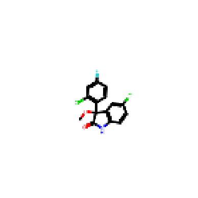 COC1(c2ccc(F)cc2Cl)C(=O)Nc2ccc(Cl)cc21